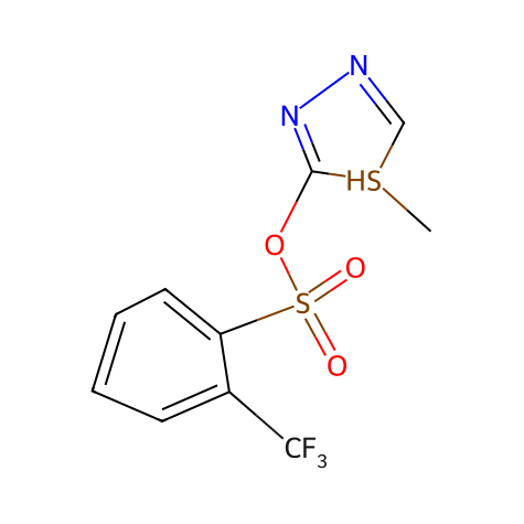 C[SH]1C=NN=C1OS(=O)(=O)c1ccccc1C(F)(F)F